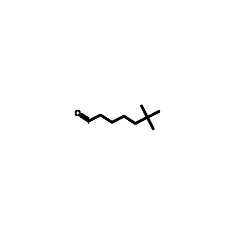 CC(C)(C)CCCC[C]=O